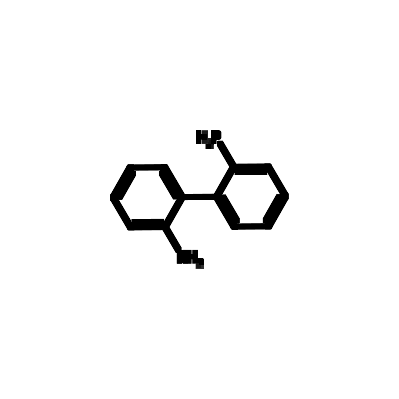 Nc1ccccc1-c1ccccc1P